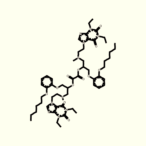 CCCCCCOc1ccccc1OCC(CN(C)CCn1cnc2c1c(=O)n(CC)c(=O)n2CC)OC(=O)C(=O)OC(COc1ccccc1OCCCCCC)CN(C)CCn1cnc2c1c(=O)n(CC)c(=O)n2CC